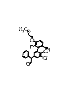 COCCOc1ccc(C#N)c(-c2cc(C(C=O)c3ccccc3)cc(Cl)c2Cl)c1F